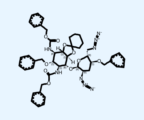 [N-]=[N+]=NC[C@H]1O[C@H](O[C@@H]2[C@@H](NC(=O)OCc3ccccc3)[C@H](OCc3ccccc3)[C@@H](NC(=O)OCc3ccccc3)[C@@H]3OC4(CCCCC4)O[C@@H]23)[C@H](N=[N+]=[N-])C[C@@H]1OCc1ccccc1